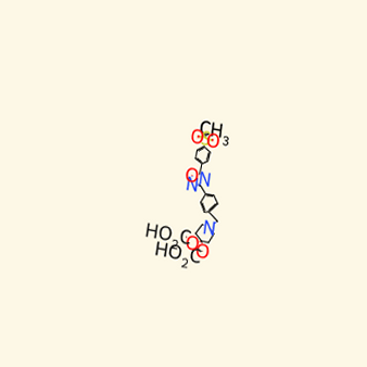 CS(=O)(=O)c1ccc(-c2nc(-c3ccc(CN4CCC(OC(=O)O)(OC(=O)O)CC4)cc3)no2)cc1